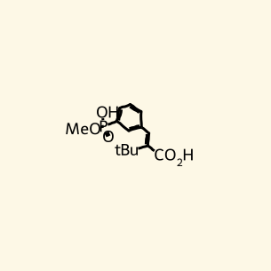 COP(=O)(O)c1cccc(/C=C(/C(=O)O)C(C)(C)C)c1